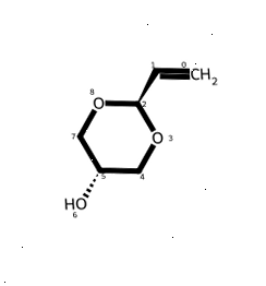 C=C[C@H]1OC[C@H](O)CO1